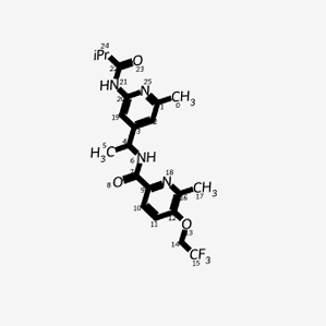 Cc1cc(C(C)NC(=O)c2ccc(OCC(F)(F)F)c(C)n2)cc(NC(=O)C(C)C)n1